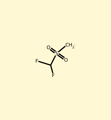 [CH2]S(=O)(=O)C(F)F